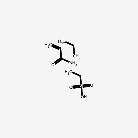 C=CC(N)=O.CCC.CCS(=O)(=O)O